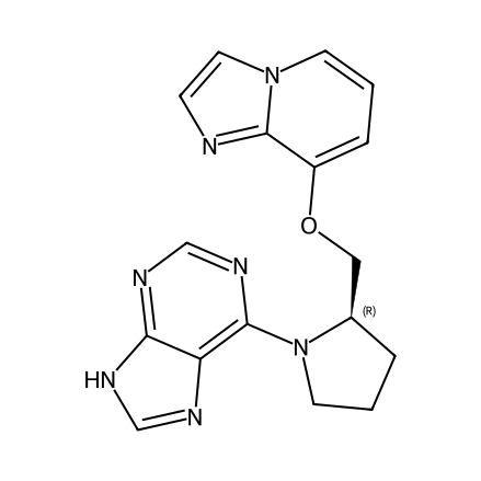 c1cc(OC[C@H]2CCCN2c2ncnc3[nH]cnc23)c2nccn2c1